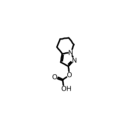 O=C(O)Oc1cc2n(n1)CCCC2